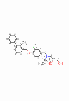 Cc1c(COc2ccc(CN(CC(O)CO)C(C)(C)C)cc2Cl)cccc1-c1ccccc1